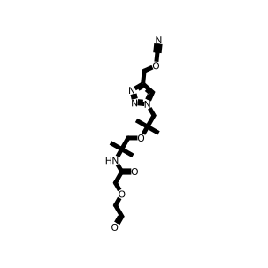 CC(C)(COC(C)(C)Cn1cc(COC#N)nn1)NC(=O)COCC=O